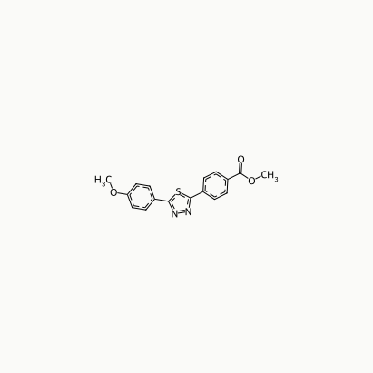 COC(=O)c1ccc(-c2nnc(-c3ccc(OC)cc3)s2)cc1